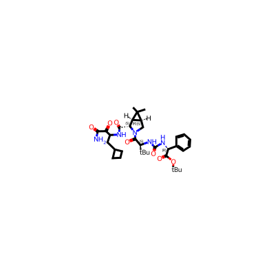 CC(C)(C)OC(=O)[C@H](NC(=O)N[C@H](C(=O)N1C[C@H]2[C@@H]([C@H]1C(=O)NC(CC1CCC1)C(=O)C(N)=O)C2(C)C)C(C)(C)C)c1ccccc1